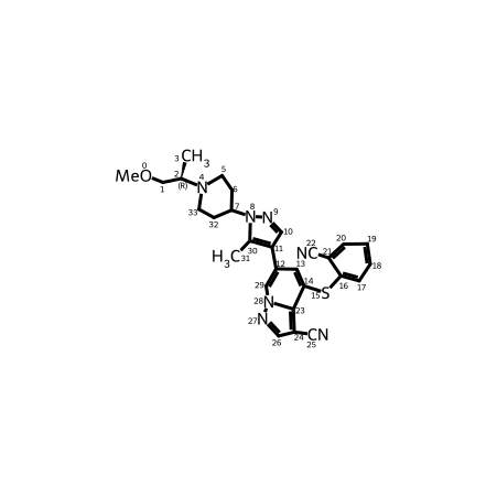 COC[C@@H](C)N1CCC(n2ncc(-c3cc(Sc4ccccc4C#N)c4c(C#N)cnn4c3)c2C)CC1